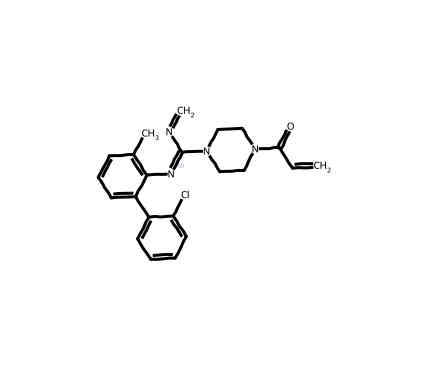 C=CC(=O)N1CCN(/C(N=C)=N/c2c(C)cccc2-c2ccccc2Cl)CC1